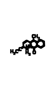 C=C=C(N)/C=C\c1[nH]c(=O)c2ccccc2c1C